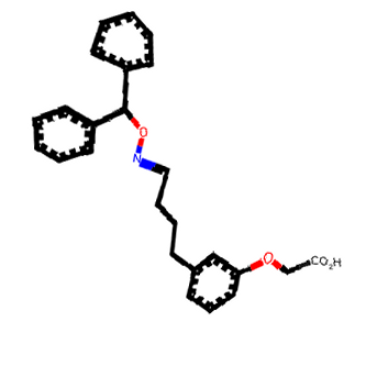 O=C(O)COc1cccc(CCCC=NOC(c2ccccc2)c2ccccc2)c1